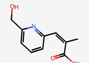 CC(=Cc1cccc(CO)n1)C(=O)O